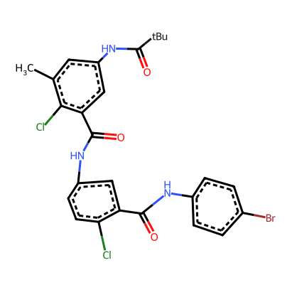 Cc1cc(NC(=O)C(C)(C)C)cc(C(=O)Nc2ccc(Cl)c(C(=O)Nc3ccc(Br)cc3)c2)c1Cl